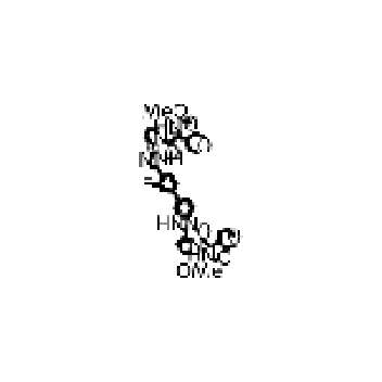 COC(=O)NC(C(=O)N1CCC[C@H]1c1nc2ccc(-c3ccc(-c4cnc([C@@H]5CCCN5C(=O)[C@@H](NC(=O)OC)C5CCOCC5)[nH]4)c(F)c3)cc2[nH]1)C1CCOCC1